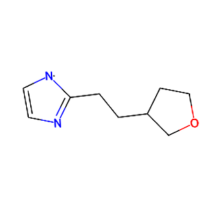 C1=CN=C(CCC2CCOC2)[N]1